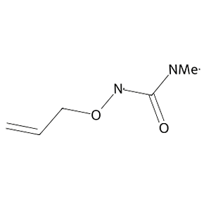 C=CCO[N]C(=O)[N]C